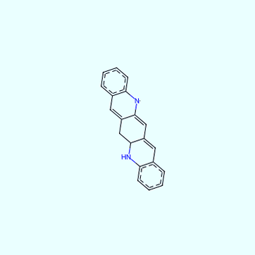 C1=C2CC3Nc4ccccc4C=C3C=C2[N]c2ccccc21